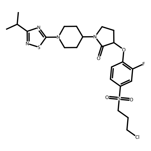 CC(C)c1nsc(N2CCC(N3CCC(Oc4ccc(S(=O)(=O)CCCCl)cc4F)C3=O)CC2)n1